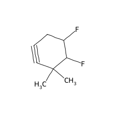 CC1(C)C#CCC(F)C1F